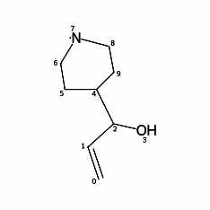 C=CC(O)C1CC[N]CC1